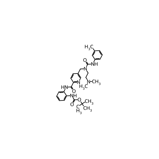 Cc1cccc(NC(=O)N(CCN(C)C)Cc2ccc(C(=O)Nc3ccccc3NC(=O)OC(C)(C)C)nc2)c1